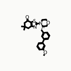 COc1cccc(-c2cccc(C[C@H]3COCCN3c3nc4c(s3)C(=O)CC(C)(C)C4)c2)c1